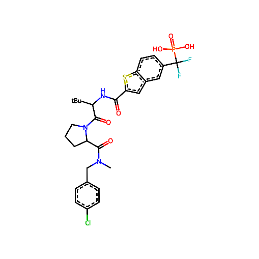 CN(Cc1ccc(Cl)cc1)C(=O)C1CCCN1C(=O)C(NC(=O)c1cc2cc(C(F)(F)P(=O)(O)O)ccc2s1)C(C)(C)C